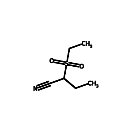 CCC(C#N)S(=O)(=O)CC